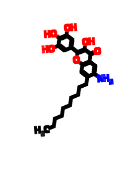 CCCCCCCCCCc1cc2oc(-c3cc(O)c(O)c(O)c3)c(O)c(=O)c2cc1N